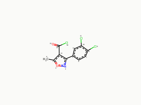 Cc1onc(-c2ccc(Cl)c(Cl)c2)c1C(=O)Cl